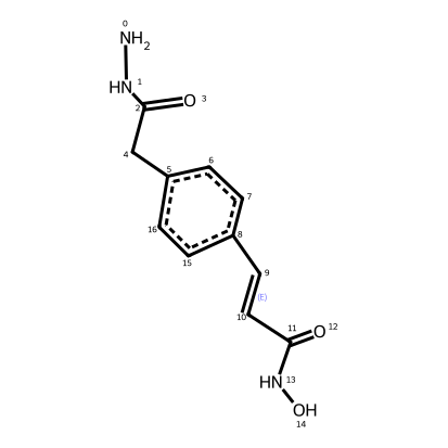 NNC(=O)Cc1ccc(/C=C/C(=O)NO)cc1